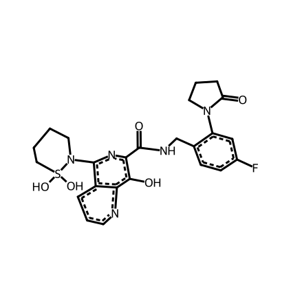 O=C(NCc1ccc(F)cc1N1CCCC1=O)c1nc(N2CCCCS2(O)O)c2cccnc2c1O